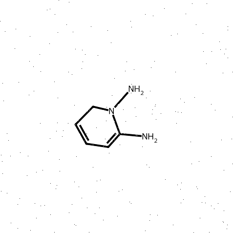 NC1=CC=CCN1N